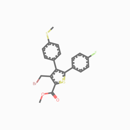 COC(=O)c1sc(-c2ccc(F)cc2)c(-c2ccc(SC)cc2)c1CBr